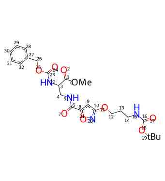 COC(=O)C(CNC(=O)c1cc(OCCCNC(=O)OC(C)(C)C)no1)NC(=O)OCc1ccccc1